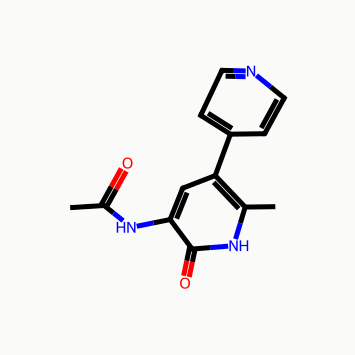 CC(=O)Nc1cc(-c2ccncc2)c(C)[nH]c1=O